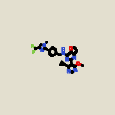 COc1ncnc(C2CC2)c1-c1nc(NCc2ccc(-c3nc(C(F)F)cn3C)cc2)c2occc2n1